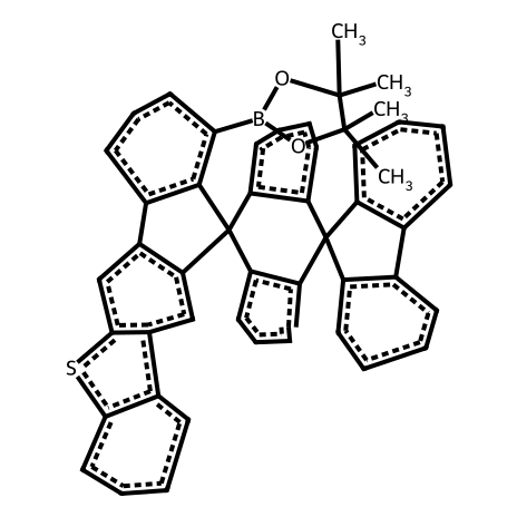 CC1(C)OB(c2cccc3c2C2(c4cc5c(cc4-3)sc3ccccc35)c3ccccc3C3(c4ccccc4-c4ccccc43)c3ccccc32)OC1(C)C